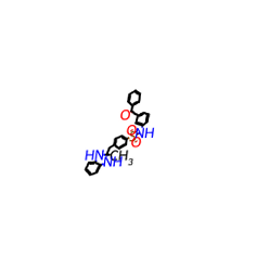 CC1(Cc2ccc(S(=O)(=O)Nc3cccc(C(=O)c4ccccc4)c3)cc2)Nc2ccccc2N1